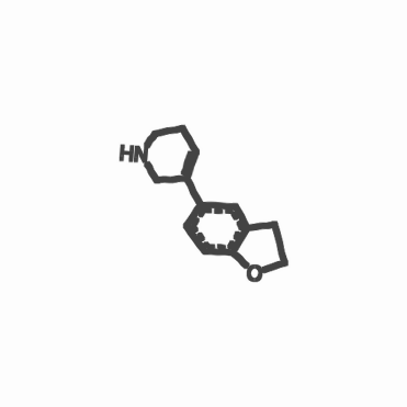 C1=C(c2ccc3c(c2)CCO3)CNCC1